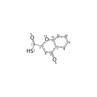 O=C(S)c1cc(=O)c2ccccc2o1